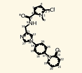 Cn1c(Cl)ccc1C(=O)NCc1cn(-c2ccc(-n3ccccc3=O)cc2)cn1